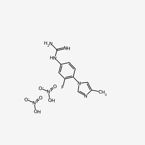 Cc1cn(-c2ccc(NC(=N)N)cc2F)cn1.O=[N+]([O-])O.O=[N+]([O-])O